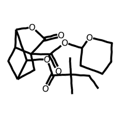 CCC(C)(C)C(=O)OC1C2CC3C1OC(=O)C3(C(=O)OC1CCCCO1)C2